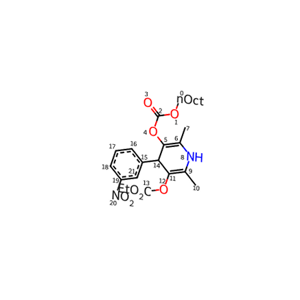 CCCCCCCCOC(=O)OC1=C(C)NC(C)=C(OC(=O)OCC)C1c1cccc([N+](=O)[O-])c1